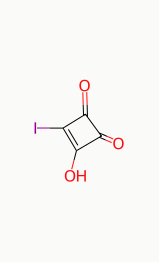 O=c1c(O)c(I)c1=O